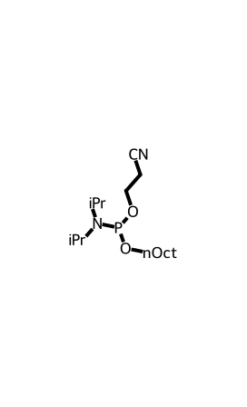 CCCCCCCCOP(OCCC#N)N(C(C)C)C(C)C